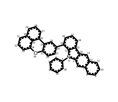 c1ccc(-n2c3cc4ccccc4cc3c3cccc(-c4ccc5c(c4)-c4cccc6cccc(c46)O5)c32)cc1